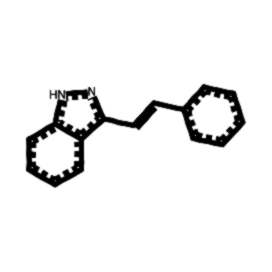 C(=Cc1n[nH]c2ccccc12)c1ccccc1